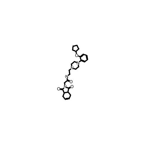 O=C(CN1C(=O)C2CC=CCC2C1=O)[N]CCN1CCN(c2ccccc2OC2CCCC2)CC1